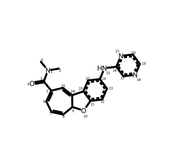 CN(C)C(=O)C1=CC=CC2Oc3ccc(Nc4cnccn4)cc3C2=C1